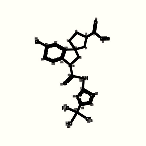 COC(=O)N1CCC2(C1)CN(C(=O)Nc1ncc(C(O)(C(F)(F)F)C(F)(F)F)s1)c1ccc(Cl)cc12